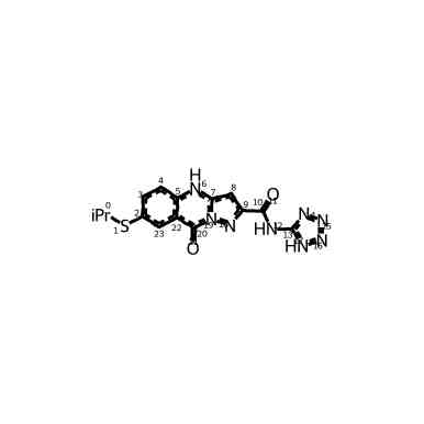 CC(C)Sc1ccc2[nH]c3cc(C(=O)Nc4nnn[nH]4)nn3c(=O)c2c1